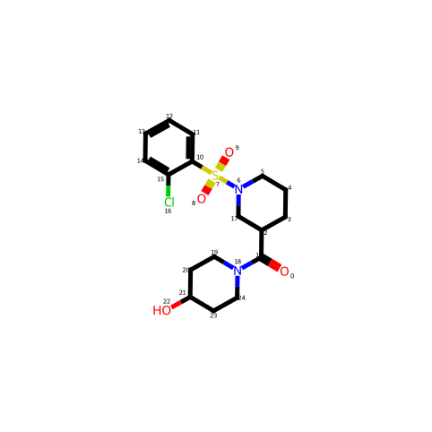 O=C(C1CCCN(S(=O)(=O)c2ccccc2Cl)C1)N1CCC(O)CC1